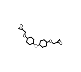 C1CC(OC2CCC(OCC3CO3)CC2)CCC1OCC1CO1